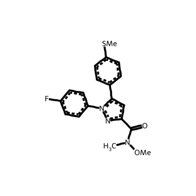 CON(C)C(=O)c1cc(-c2ccc(SC)cc2)n(-c2ccc(F)cc2)n1